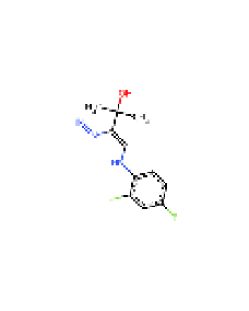 CC(C)(O)/C(=C/Nc1ccc(F)cc1F)N=N